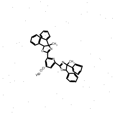 CC1(c2ccccc2)N=C(c2cccc(C3=NC(C)(c4ccccc4)C(c4ccccc4)O3)n2)OC1c1ccccc1.[Cl-].[Cl-].[Cl-].[V+3]